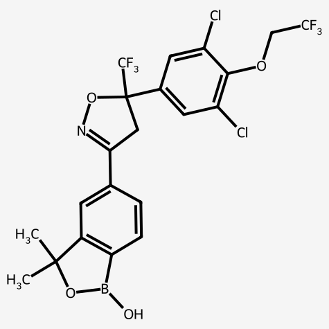 CC1(C)OB(O)c2ccc(C3=NOC(c4cc(Cl)c(OCC(F)(F)F)c(Cl)c4)(C(F)(F)F)C3)cc21